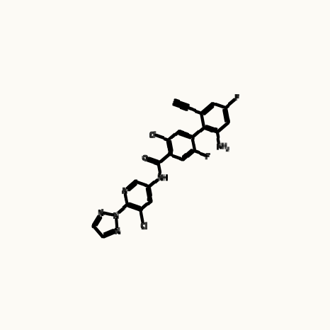 C#Cc1cc(F)cc(N)c1-c1cc(Cl)c(C(=O)Nc2cnc(-n3nccn3)c(Cl)c2)cc1F